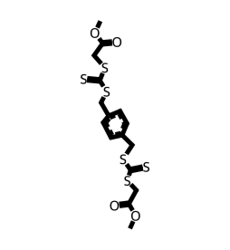 COC(=O)CSC(=S)SCc1ccc(CSC(=S)SCC(=O)OC)cc1